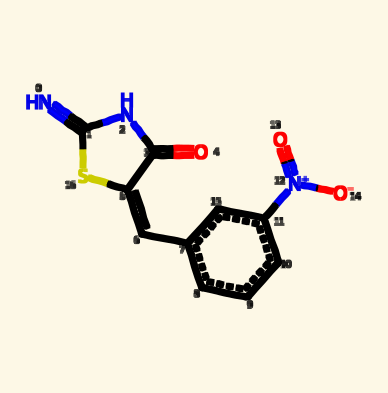 N=C1NC(=O)/C(=C\c2cccc([N+](=O)[O-])c2)S1